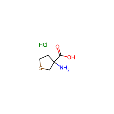 Cl.NC1(C(=O)O)CCSC1